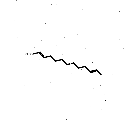 CC=CCCCCCCCC=CCCCCCC